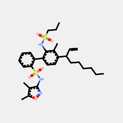 C=CC(CCCCCC)c1ccc(-c2ccccc2S(=O)(=O)Nc2noc(C)c2C)c(NS(=O)(=O)CCC)c1C